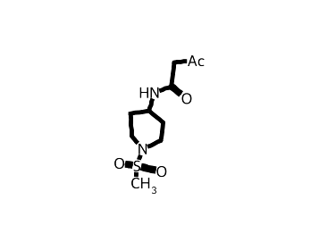 CC(=O)CC(=O)NC1CCN(S(C)(=O)=O)CC1